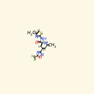 Cc1cc(-c2noc(C(F)F)n2)cc(C(=O)Nc2nc(C)cs2)n1